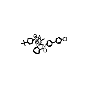 CC(c1nc2ccccc2c(=O)n1-c1ccc(-c2ccc(Cl)cc2)cc1)N(C)S(=O)(=O)c1ccc(C(C)(C)C)cc1